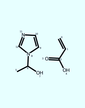 C=CC(=O)O.CC(O)n1ccnc1